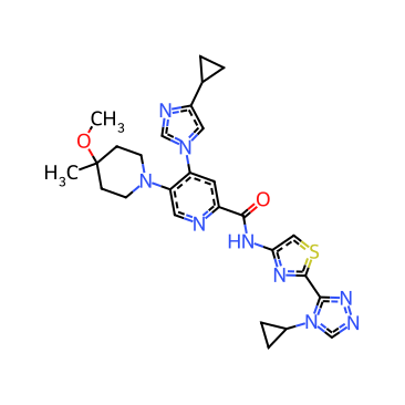 COC1(C)CCN(c2cnc(C(=O)Nc3csc(-c4nncn4C4CC4)n3)cc2-n2cnc(C3CC3)c2)CC1